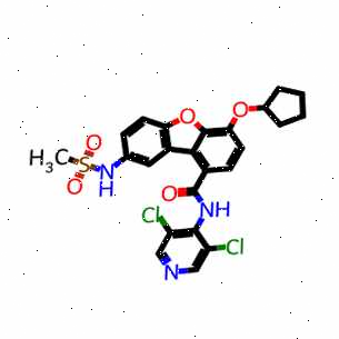 CS(=O)(=O)Nc1ccc2oc3c(OC4CCCC4)ccc(C(=O)Nc4c(Cl)cncc4Cl)c3c2c1